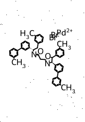 Cc1cccc(-c2cccc([C@H]3N=C(CC4=N[C@H](c5cccc(-c6cccc(C)c6)c5)C(c5cccc(C)c5)O4)OC3c3cccc(C)c3)c2)c1.[Br-].[Br-].[Pd+2]